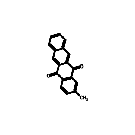 Cc1ccc2c(c1)C(=O)c1cc3ccccc3cc1C2=O